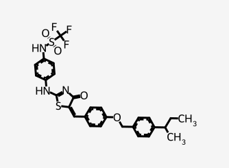 CCC(C)c1ccc(COc2ccc(C=C3SC(Nc4ccc(NS(=O)(=O)C(F)(F)F)cc4)=NC3=O)cc2)cc1